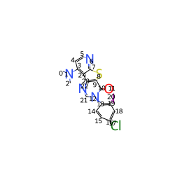 CN(C)c1ccnc2sc3c(=O)n(-c4ccc(Cl)cc4I)cnc3c12